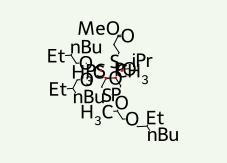 CCCCC(CC)COCC(C)OP(CC(C)CSP(OCC(CC)CCCC)OCC(CC)CCCC)SCC(C)OP(OC(C)C)SCCC(=O)OC